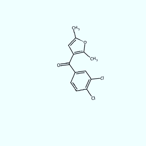 Cc1cc(C(=O)c2ccc(Cl)c(Cl)c2)c(C)o1